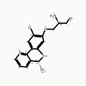 CC(C)C[C@H](N)COc1cc2c(cc1Cl)-c1ncccc1[C@@H](C(F)(F)F)O2